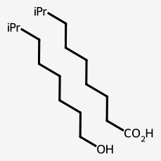 CC(C)CCCCCCC(=O)O.CC(C)CCCCCCO